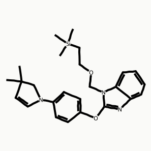 CC1(C)C=CN(c2ccc(Oc3nc4ccccc4n3COCC[Si](C)(C)C)cc2)C1